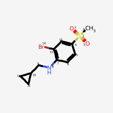 CS(=O)(=O)c1ccc(NCC2CC2)c(Br)c1